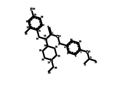 C=C(OCc1ccc(OC(C)C)cc1)N(Cc1ccc(F)cc1C)C1CCN(CC)CC1